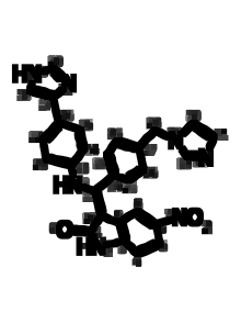 O=C1Nc2ccc([N+](=O)[O-])cc2C1=C(Nc1ccc(-c2c[nH]cn2)cc1)c1ccc(Cn2ccnc2)cc1